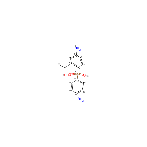 CC(O)c1cc(N)ccc1S(=O)(=O)c1ccc(N)cc1